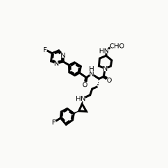 O=CNC1CCN(C(=O)[C@H](CCCN[C@@H]2C[C@H]2c2ccc(F)cc2)NC(=O)c2ccc(-c3ncc(F)cn3)cc2)CC1